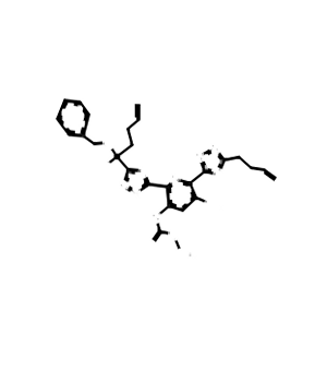 C=CCCc1nnc(-c2nc(-c3nnc(C(CCC=C)(OCc4ccccc4)C(F)(F)F)o3)c(NC(=O)OC(C)(C)C)cc2C(F)(F)F)o1